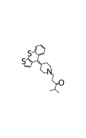 CC(C)C(=O)CCN1CCC(=C2c3ccccc3Sc3sccc32)CC1